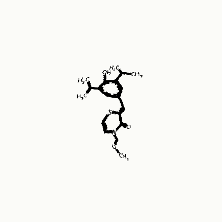 COCN1C=CS/C(=C\c2cc(C(C)C)c(O)c(C(C)C)c2)C1=O